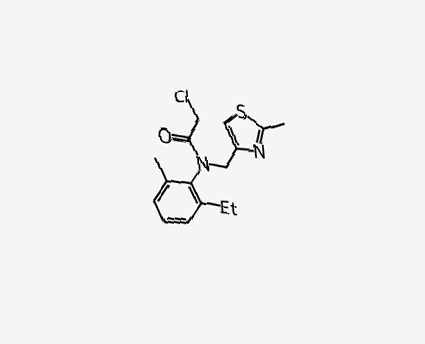 CCc1cccc(C)c1N(Cc1csc(C)n1)C(=O)CCl